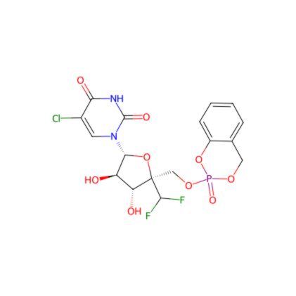 O=c1[nH]c(=O)n([C@@H]2O[C@@](COP3(=O)OCc4ccccc4O3)(C(F)F)[C@H](O)[C@H]2O)cc1Cl